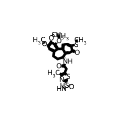 COc1cc2c(c(OC)c1OC)-c1ccc(SC)c(=O)cc1[C@@H](NC(=O)Cc1sc([SH](=N)=O)nc1C)CC2